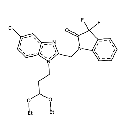 CCOC(CCn1c(CN2C(=O)C(F)(F)c3ccccc32)nc2cc(Cl)ccc21)OCC